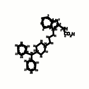 O=C(O)Nc1nc2ccccc2n1CCCN1CCN(C(c2ccccc2)c2ccccc2)CC1